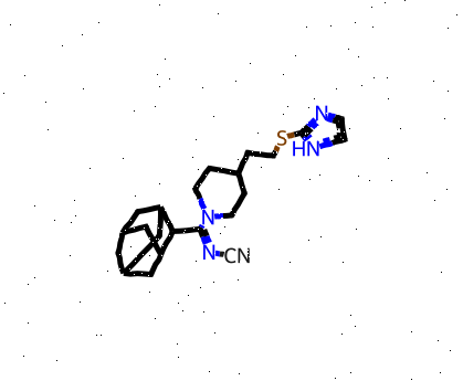 N#CN=C(C1C2CC3CC(C2)CC1C3)N1CCC(CCSc2ncc[nH]2)CC1